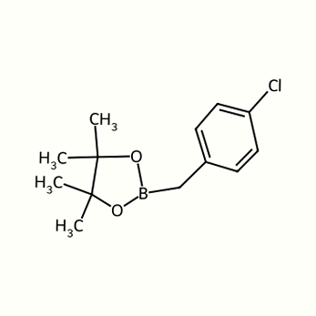 CC1(C)OB(Cc2ccc(Cl)cc2)OC1(C)C